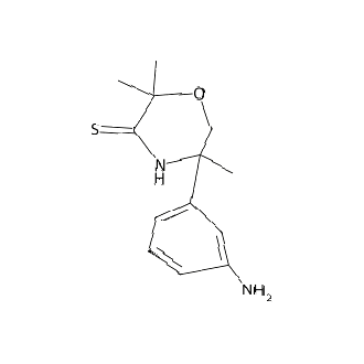 CC1(C)OCC(C)(c2cccc(N)c2)NC1=S